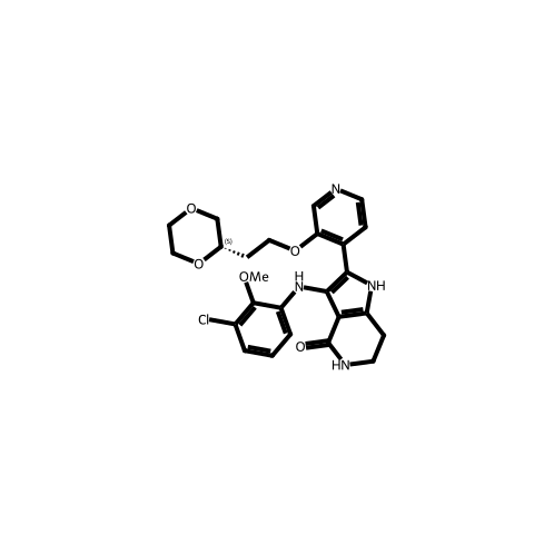 COc1c(Cl)cccc1Nc1c(-c2ccncc2OCC[C@H]2COCCO2)[nH]c2c1C(=O)NCC2